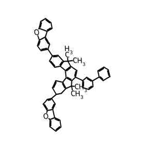 CC1(C)C2=C(C=CC(c3ccc4oc5ccccc5c4c3)C2)c2c3c(cc(-c4cccc(-c5ccccc5)c4)c21)C(C)(C)c1cc(-c2ccc4oc5ccccc5c4c2)ccc1-3